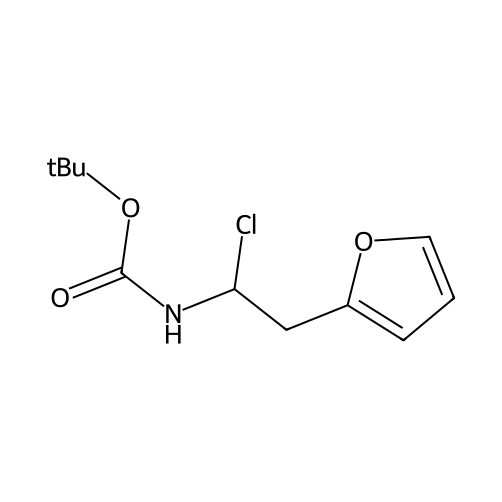 CC(C)(C)OC(=O)NC(Cl)Cc1ccco1